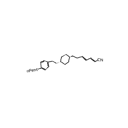 CCCCCc1ccc(CC[C@H]2CC[C@H](CCC=CC=CC#N)CC2)cc1